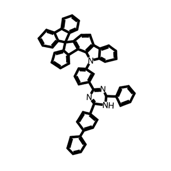 c1ccc(-c2ccc(C3=NC(c4cccc(-n5c6ccccc6c6ccc7c(c65)-c5ccccc5C75c6ccccc6-c6ccccc65)c4)=NC(c4ccccc4)N3)cc2)cc1